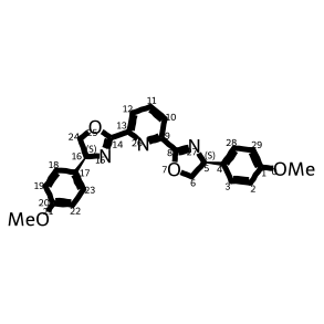 COc1ccc([C@H]2COC(c3cccc(C4=N[C@@H](c5ccc(OC)cc5)CO4)n3)=N2)cc1